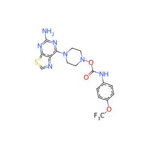 Nc1nc(N2CCN(OC(=O)Nc3ccc(OC(F)(F)F)cc3)CC2)c2ncsc2n1